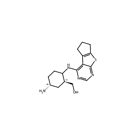 N[C@@H]1CCC(Nc2ncnc3sc4c(c23)CCC4)[C@@H](CO)C1